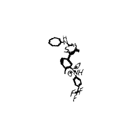 Cc1ccc(-c2sc(NC3CCCCCC3)nc2C)cc1S(=O)(=O)Nc1ccc(C(F)(F)F)cc1